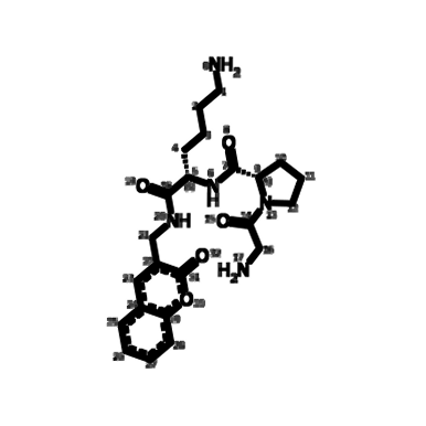 NCCCC[C@H](NC(=O)[C@@H]1CCCN1C(=O)CN)C(=O)NCc1cc2ccccc2oc1=O